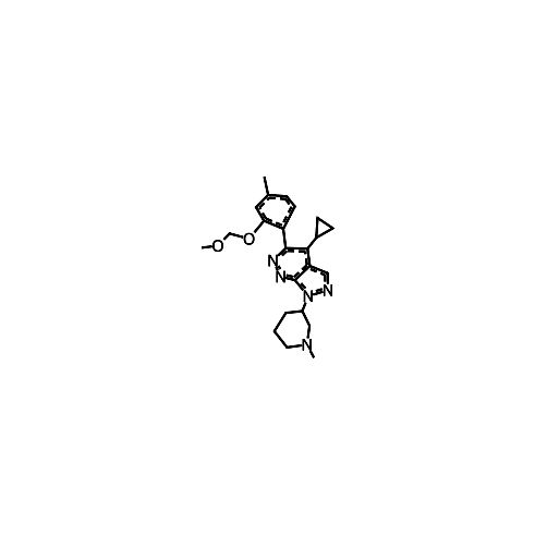 COCOc1cc(C)ccc1-c1nnc2c(cnn2C2CCCN(C)C2)c1C1CC1